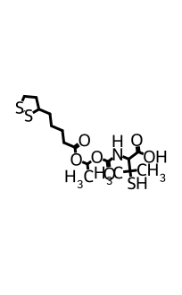 CC(OC(=O)CCCCC1CCSS1)OC(=O)NC(C(=O)O)C(C)(C)S